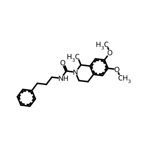 COc1cc2c(cc1OC)C(C)N(C(=O)NCCCc1ccccc1)CC2